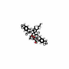 CCCCC(CC)CC(CC(CC)CCCC)(C(=O)OCc1cc2c(cc1[N+](=O)[O-])OOC2)C(C(=O)OCc1cc2c(cc1[N+](=O)[O-])OOC2)S(=O)(=O)O